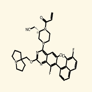 C=CC(=O)N1CCN(c2nc(OCC34CCCN3CCC4)nc3c(F)c(-c4cccc5ccc(F)c(Cl)c45)c(Cl)cc23)C[C@@H]1CC#N